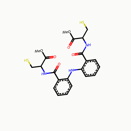 COC(=O)C(CS)NC(=O)c1ccccc1Nc1ccccc1C(=O)NC(CS)C(=O)OC